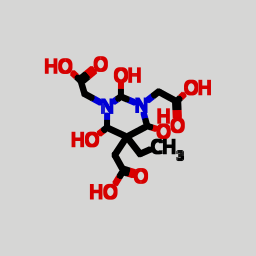 CCC1(CC(=O)O)C(O)N(CC(=O)O)C(O)N(CC(=O)O)C1O